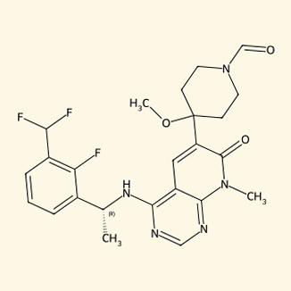 COC1(c2cc3c(N[C@H](C)c4cccc(C(F)F)c4F)ncnc3n(C)c2=O)CCN(C=O)CC1